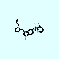 C=CCN1CCCC1Cc1c[nH]c2ccc(Nc3ncccc3[N+](=O)[O-])cc12